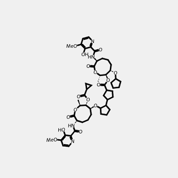 COc1ccnc(C(=O)N[C@H]2CCC[C@H](OC3CCCC3)[C@@H](OC(=O)C3CCC(C4CCCC4O[C@H]4CCC[C@H](NC(=O)c5nccc(OC)c5O)C(=O)O[C@@H](C)[C@@H]4OC(=O)C4CC4)C3)[C@H](C)OC2=O)c1O